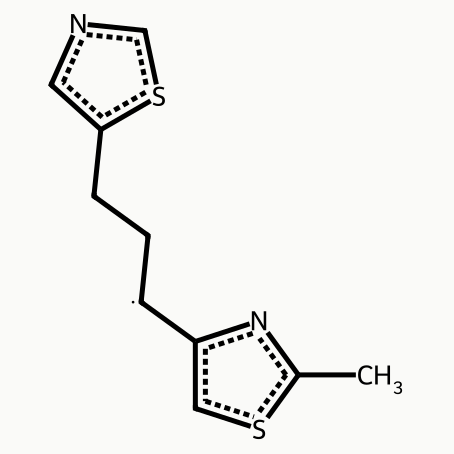 Cc1nc([CH]CCc2cncs2)cs1